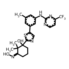 Cc1cc(Nc2nccc(C(F)(F)F)n2)cc(-c2cnc(C3(O)CCCC(=NO)C3(C)C)s2)c1